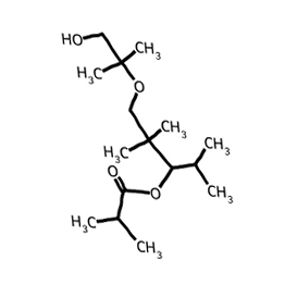 CC(C)C(=O)OC(C(C)C)C(C)(C)COC(C)(C)CO